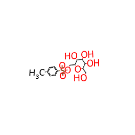 Cc1ccc(S(=O)(=O)OCC2OC(CO)C(O)C(O)C2O)cc1